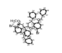 COC(=O)CC(c1ccccc1)(c1cc(Br)ccc1OCc1ccccc1)C(O)CC(c1ccccc1)c1cc(Br)ccc1OCc1ccccc1